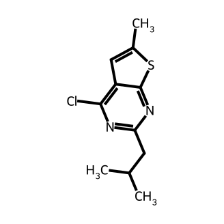 Cc1cc2c(Cl)nc(CC(C)C)nc2s1